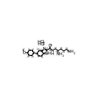 COc1ccc(-c2ccc3[nH]c(C(=O)NCC(N)CCCN)nc3c2)cc1.Cl.Cl